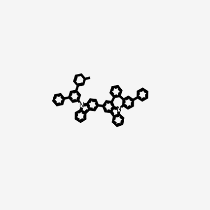 CC1C=C(c2cc(-c3ccccc3)cc(-n3c4ccccc4c4cc(-c5cc6c7c(c5)c5ccccc5n7-c5ccc(-c7ccccc7)cc5-c5ccccc5-6)ccc43)c2)C=CC1